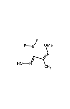 CON=C(C)C=NO.F[B]F